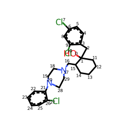 OC1(Cc2ccc(Cl)cc2Cl)CCCCC1CN1CCN(c2ccccc2Cl)CC1